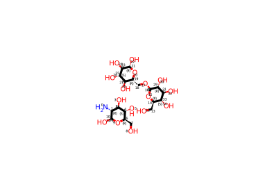 N[C@@H]1[C@@H](O)[C@H](O)[C@@H](CO)O[C@H]1O.OC[C@H]1O[C@@H](OC[C@H]2O[C@@H](O)[C@H](O)[C@@H](O)[C@@H]2O)[C@H](O)[C@@H](O)[C@@H]1O